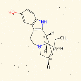 CC[C@H]1C[C@H]2C[C@H]3c4[nH]c5ccc(O)cc5c4CCN(C2)[C@@H]13